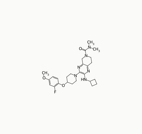 COc1ccc(OC2CCN(c3nc4c(nc3NC3CCC3)CCN(C(=O)N(C)C)C4)CC2)c(F)c1